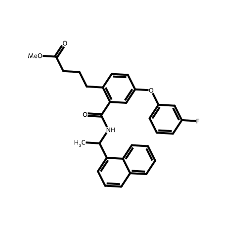 COC(=O)CCCc1ccc(Oc2cccc(F)c2)cc1C(=O)NC(C)c1cccc2ccccc12